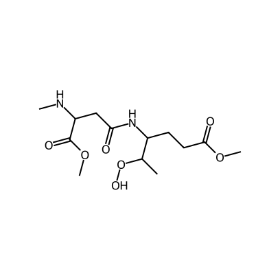 CNC(CC(=O)NC(CCC(=O)OC)C(C)OO)C(=O)OC